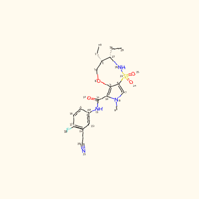 CC[C@H]1COc2c(cn(C)c2C(=O)Nc2ccc(F)c(C#N)c2)S(=O)(=O)N[C@H]1CC